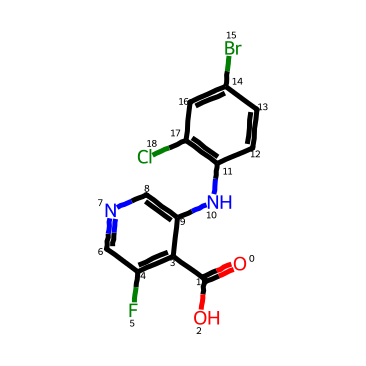 O=C(O)c1c(F)cncc1Nc1ccc(Br)cc1Cl